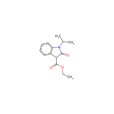 CCOC(=O)C1C(=O)N(C(C)C)c2ccccc21